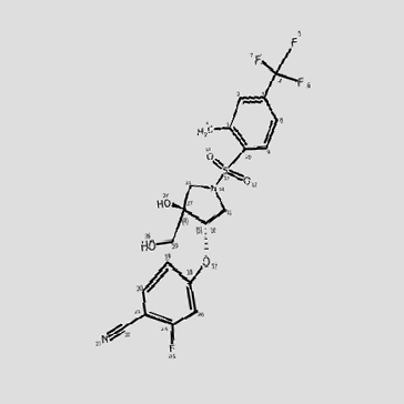 Cc1cc(C(F)(F)F)ccc1S(=O)(=O)N1C[C@H](Oc2ccc(C#N)c(F)c2)[C@](O)(CO)C1